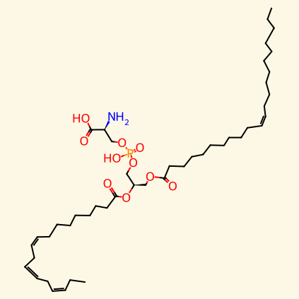 CC/C=C\C/C=C\C/C=C\CCCCCCCC(=O)O[C@H](COC(=O)CCCCCCCCC/C=C\CCCCCCCCCC)COP(=O)(O)OC[C@H](N)C(=O)O